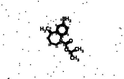 Bc1ccc2c(c1)C(=C)CCCN2C(=O)OC(C)C